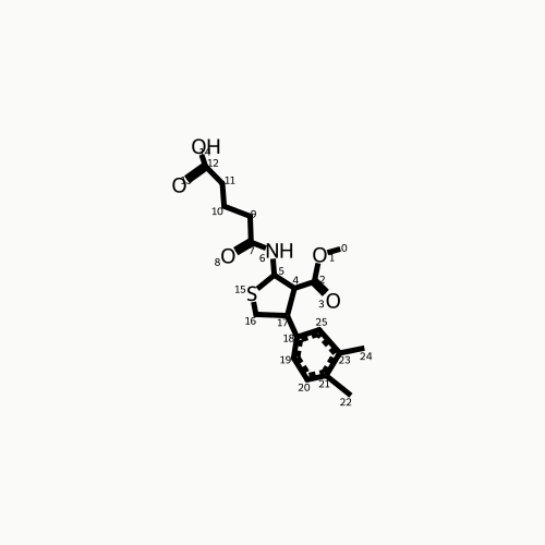 COC(=O)C1C(NC(=O)CCCC(=O)O)SCC1c1ccc(C)c(C)c1